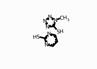 Cn1nnnc1S.Sc1ncccn1